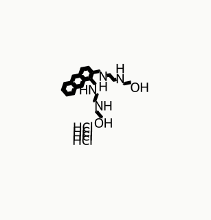 Cl.Cl.Cl.Cl.OCCNCCNCc1ccc2cc3ccccc3cc2c1CNCCNCCO